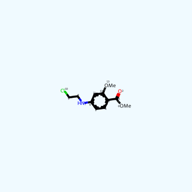 COC(=O)c1ccc(NCCCl)cc1OC